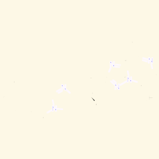 Cc1ncc(C)n2nc(C[C@@H](C)c3cn4c(n3)-c3ccccc3C4)nc12